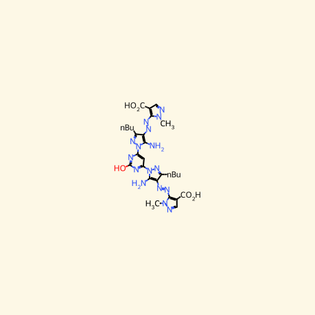 CCCCc1nn(-c2cc(-n3nc(CCCC)c(/N=N/c4c(C(=O)O)cnn4C)c3N)nc(O)n2)c(N)c1/N=N/c1c(C(=O)O)cnn1C